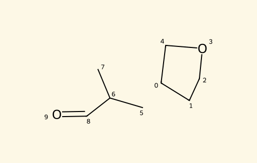 C1CCOC1.CC(C)C=O